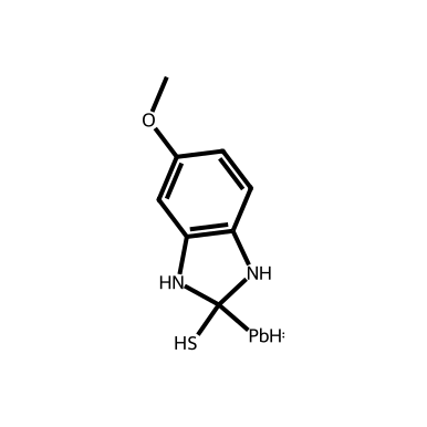 COc1ccc2c(c1)N[C](S)([PbH])N2